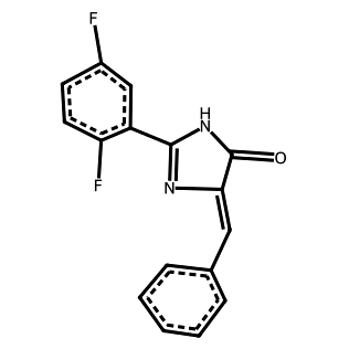 O=C1NC(c2cc(F)ccc2F)=N/C1=C\c1ccccc1